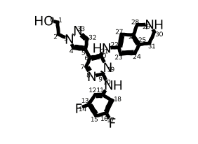 OCCn1cc(-c2cnc(Nc3cc(F)cc(F)c3)nc2Nc2ccc3c(c2)CNCC3)cn1